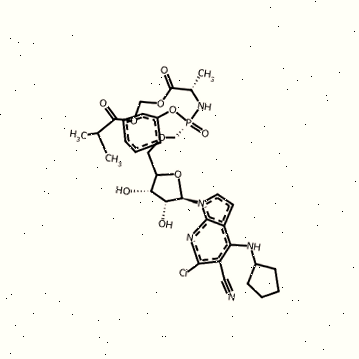 CC(C)C(=O)OCOC(=O)[C@H](C)N[P@](=O)(COCC1O[C@@H](n2ccc3c(NC4CCCC4)c(C#N)c(Cl)nc32)[C@H](O)[C@@H]1O)Oc1ccccc1